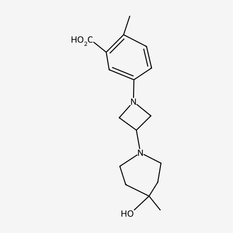 Cc1ccc(N2CC(N3CCC(C)(O)CC3)C2)cc1C(=O)O